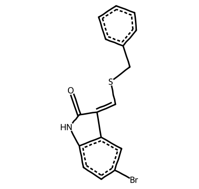 O=C1Nc2ccc(Br)cc2C1=CSCc1ccccc1